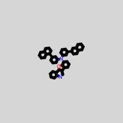 c1cc(-c2ccc3ccccc3c2)cc(N(c2cccc(-c3cccc4ccccc34)c2)c2cccc3c2oc2c4ccccc4ncc32)c1